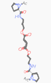 CC(=O)N1CCC[C@H]1C(=O)NCCCOC(=O)/C=C/C(=O)OCCCNC(=O)[C@@H]1CCCN1C(C)=O